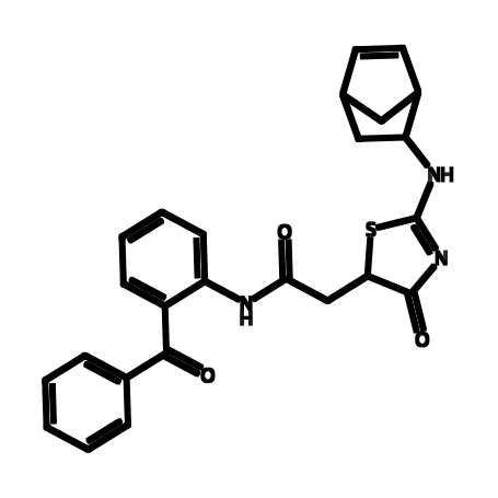 O=C(CC1SC(NC2CC3C=CC2C3)=NC1=O)Nc1ccccc1C(=O)c1ccccc1